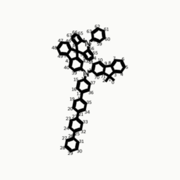 CC1(C)c2ccccc2-c2ccc(N(c3ccc(-c4ccc(-c5ccc(-c6ccccc6)cc5)cc4)cc3)c3ccc4c(c3)C3(c5ccccc5-4)c4ccccc4N(c4ccccc4)c4ccccc43)cc21